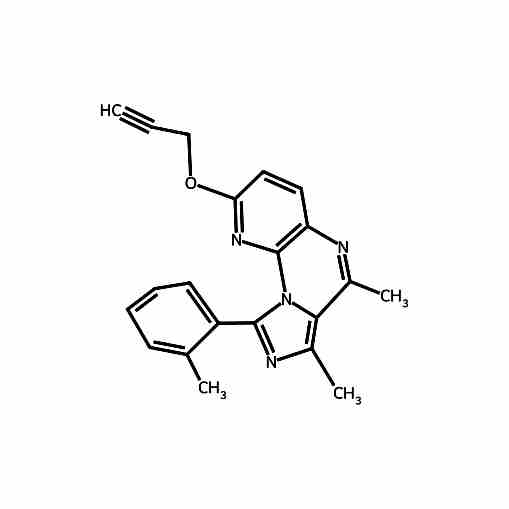 C#CCOc1ccc2nc(C)c3c(C)nc(-c4ccccc4C)n3c2n1